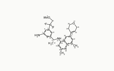 COCC(F)(F)c1cc(N)cc([C@@H](C)Nc2nc(C)nc3c(C)cc(C4=CCOCC4)cc23)c1